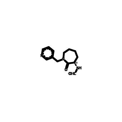 O=[C]N[C@H]1CCCCN(Cc2cccnc2)C1=O